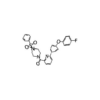 O=C(c1cccc(-c2ccc(Oc3ccc(F)cc3)cc2)n1)N1CCN(S(=O)(=O)c2ccccc2)CC1